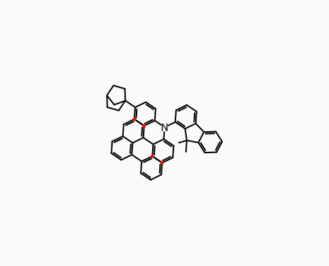 CC1(C)c2ccccc2-c2cccc(N(c3ccc(C45CCC(CC4)C5)cc3)c3ccccc3-c3cccc4cccc(-c5ccccc5)c34)c21